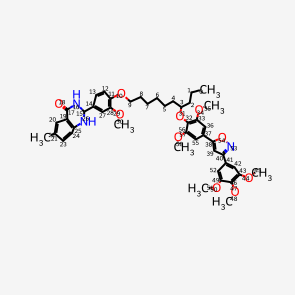 CCCC(CCCCCCOc1ccc(C2NC(=O)c3cc(C)ccc3N2)cc1OC)Oc1c(OC)cc(-c2cc(-c3cc(OC)c(OC)c(OC)c3)no2)cc1OC